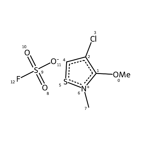 COc1c(Cl)cs[n+]1C.O=S(=O)([O-])F